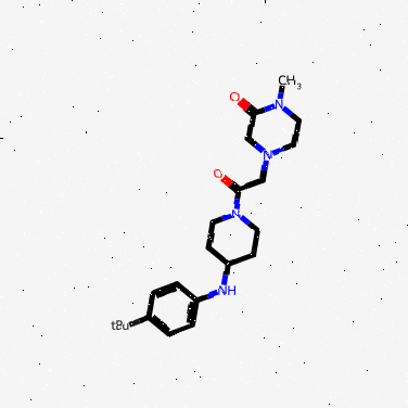 CN1CCN(CC(=O)N2CCC(Nc3ccc(C(C)(C)C)cc3)CC2)CC1=O